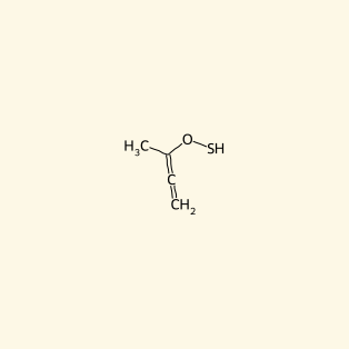 C=C=C(C)OS